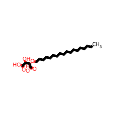 CCCCCCCCCCCCCCCCCCOC(C(=O)O)C(O)C(=O)O